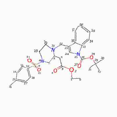 CCOC(=O)CC1CN(S(=O)(=O)c2ccc(C)cc2)CCN1Cc1cn(C(=O)OC(C)(C)C)c2ccccc12